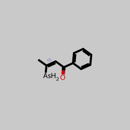 C/C([AsH2])=C/C(=O)c1ccccc1